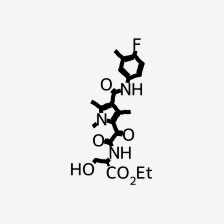 CCOC(=O)[C@@H](CO)NC(=O)C(=O)c1c(C)c(C(=O)Nc2ccc(F)c(C)c2)c(C)n1C